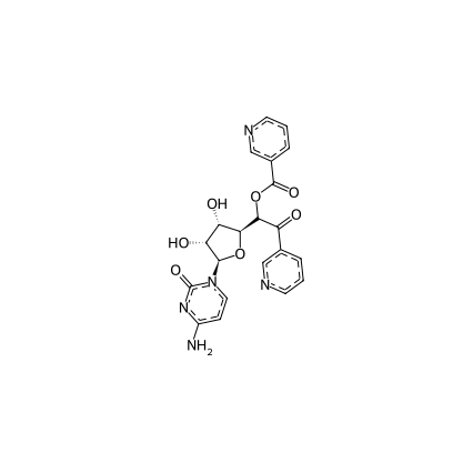 Nc1ccn([C@@H]2O[C@H](C(OC(=O)c3cccnc3)C(=O)c3cccnc3)[C@@H](O)[C@H]2O)c(=O)n1